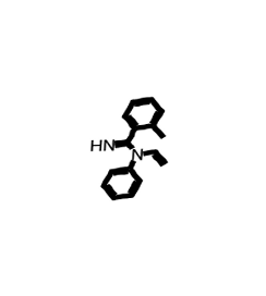 C=CN(C(=N)c1ccccc1C)c1ccccc1